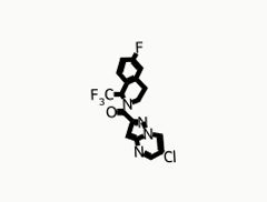 O=C(c1cc2ncc(Cl)cn2n1)N1CCc2cc(F)ccc2C1C(F)(F)F